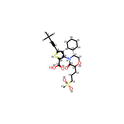 CC(C)(C)C#Cc1cc(N2C(=O)C(CCCS(C)(=O)=O)OC[C@H]2C2CCCCC2)c(C(=O)O)s1